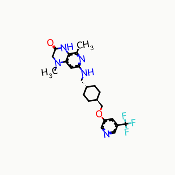 Cc1nc(NC[C@H]2CC[C@H](COc3cncc(C(F)(F)F)c3)CC2)cc2c1NC(=O)CN2C